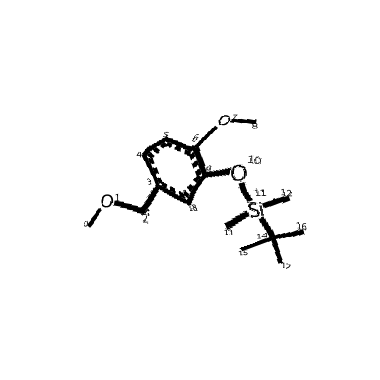 CO[C]c1ccc(OC)c(O[Si](C)(C)C(C)(C)C)c1